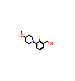 COC1CCN(c2cccc(CO)c2F)CC1